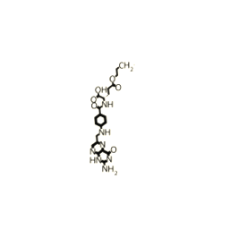 [CH2]CCOC(=O)CC[C@H](NC(=O)c1ccc(NCc2cnc3[nH]c(N)nc(=O)c3n2)cc1)C(=O)O